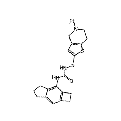 CCN1CCc2sc(SNC(=O)Nc3c4c(cc5c3CC5)CCC4)cc2C1